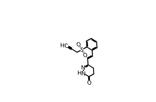 C#CCS(=O)(=O)c1ccccc1C=CC1=NNC(=O)CC1